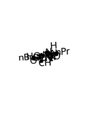 C#C[C@]1(COC(=O)CCCC)O[C@@H](n2cnc3c(NC(=O)CCC)nc(F)nc32)C[C@@H]1O